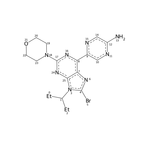 CCC(CC)n1c(Br)nc2c(-c3cnc(N)cn3)nc(N3CCOCC3)nc21